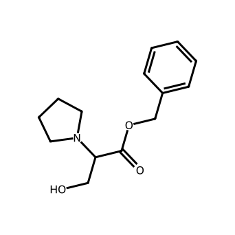 O=C(OCc1ccccc1)C(CO)N1CCCC1